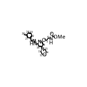 COC(=O)NCCOc1cc(N2CCOCC2)cc(NN=Cc2cccc(C)c2)n1